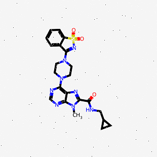 Cn1c(C(=O)NCC2CC2)nc2c(N3CCN(C4=NS(=O)(=O)c5ccccc54)CC3)ncnc21